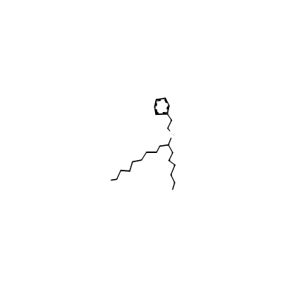 CCCCCCCCCC(CCCCCC)NCCc1ccccc1.Cl